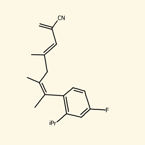 C=C(C#N)/C=C(\C)C/C(C)=C(/C)c1ccc(F)cc1C(C)C